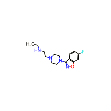 CCNCCN1CCN(c2noc3cc(F)ccc23)CC1